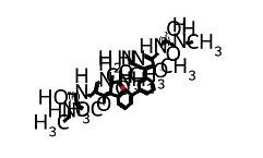 CCNC(=O)[C@@H](CO)NCC1=CNC(C)(C(N)=O)C(c2cccc(-c3cccc(C4=C(OC)C(CN[C@H](CO)C(=O)NCC)=CNC4(C)C(N)=O)c3)c2)=C1OC